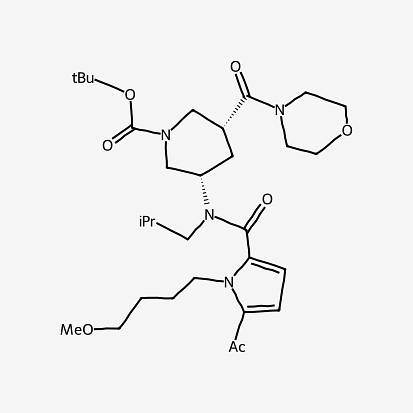 COCCCCn1c(C(C)=O)ccc1C(=O)N(CC(C)C)[C@H]1C[C@@H](C(=O)N2CCOCC2)CN(C(=O)OC(C)(C)C)C1